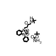 CC(C)(C)NCC(=O)CCN1c2ccccc2N(c2ccccc2)S1(=O)=O.CC(C)(C)OC(N)=O